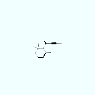 CC#CC(=O)C1C(C)=CCCC1(C)C